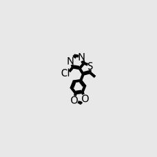 Cc1sc2ncnc(Cl)c2c1-c1ccc2c(c1)OCO2